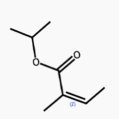 C/C=C(/C)C(=O)OC(C)C